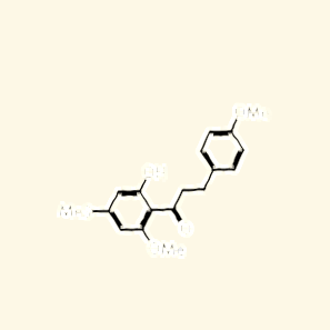 COc1ccc(CCC(=O)c2c(O)cc(SC)cc2OC)cc1